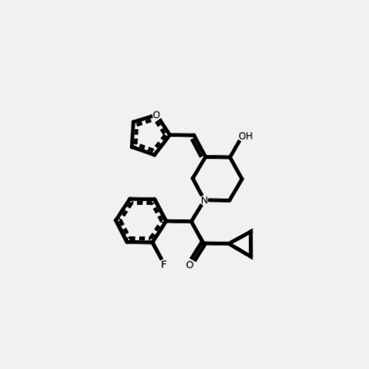 O=C(C1CC1)C(c1ccccc1F)N1CCC(O)/C(=C/c2ccco2)C1